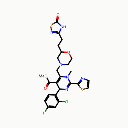 COC(=O)C1=C(CN2CCOC(CCc3nsc(=O)[nH]3)C2)N(C)C(c2nccs2)=NC1c1ccc(F)cc1Cl